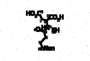 CCCCCCCCCCCC(=O)N[C@@H](CC(=O)O)C(=O)O.[KH]